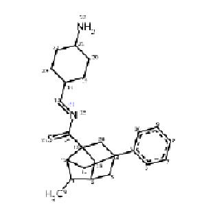 CC1C2CC3(c4ccccc4)CC1C(C(=S)/N=C/C1CCC(N)CC1)(C2)C3